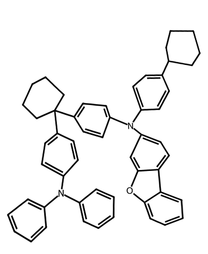 c1ccc(N(c2ccccc2)c2ccc(C3(c4ccc(N(c5ccc(C6CCCCC6)cc5)c5ccc6c(c5)oc5ccccc56)cc4)CCCCC3)cc2)cc1